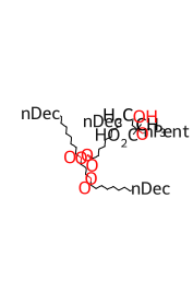 CCCCCCCCCCCCCCCCCC(=O)OCC(COC(=O)CCCCCCCCCCCCCCCCC)OC(=O)CCCCCCCCCCCCCCCCC.CCCCCOC(C)(CC(C)O)C(=O)O